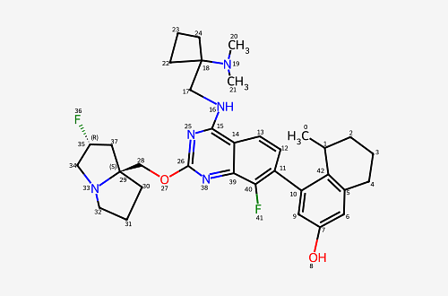 CC1CCCc2cc(O)cc(-c3ccc4c(NCC5(N(C)C)CCC5)nc(OC[C@@]56CCCN5C[C@H](F)C6)nc4c3F)c21